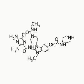 CCNC(=O)N1CCC(n2c(CNC(=O)c3nc(Cl)c(N)nc3N)[n+](CC)c3ccc(OCC(=O)NC4CCNCC4)cc32)CC1